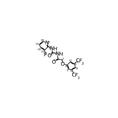 O=C(COc1cc(C(F)(F)F)cc(C(F)(F)F)c1)NC(=O)Nc1ncccc1F